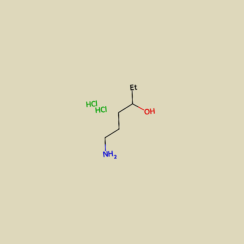 CCC(O)CCCN.Cl.Cl